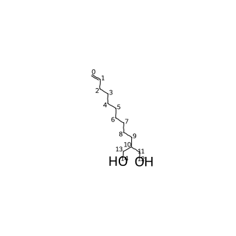 C=CCCCCCCCCC(CO)CO